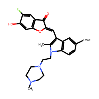 COc1ccc2c(c1)c(/C=C1\Oc3cc(O)c(F)cc3C1=O)c(C)n2CCN1CCN(C)CC1